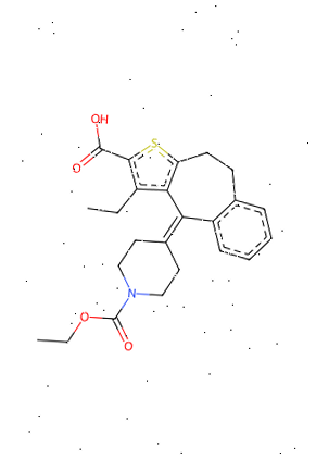 CCOC(=O)N1CCC(=C2c3ccccc3CCc3sc(C(=O)O)c(CC)c32)CC1